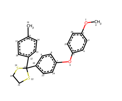 COc1ccc(Oc2ccc(C3(c4ccc(C)cc4)SCCS3)cc2)cc1